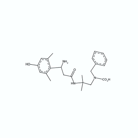 Cc1cc(O)cc(C)c1C(N)CC(=O)NC(C)(C)CN(Cc1ccccc1)C(=O)O